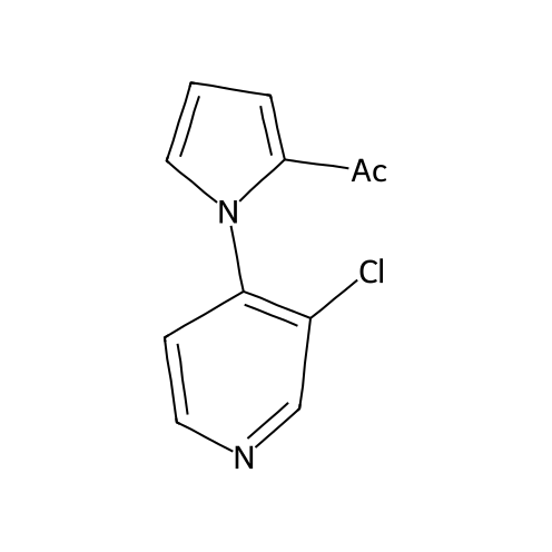 CC(=O)c1cccn1-c1ccncc1Cl